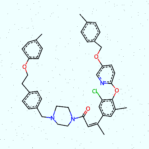 CC(=CC(=O)N1CCN(Cc2ccc(CCOc3ccc(C)cc3)cc2)CC1)c1cc(C)c(Oc2ccc(OCc3ccc(C)cc3)cn2)c(Cl)c1